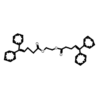 O=C(CCC=C(c1ccccc1)c1ccccc1)OCCOC(=O)CCC=C(c1ccccc1)c1ccccc1